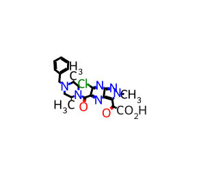 C[C@@H]1CN(Cc2ccccc2)[C@@H](C)CN1C(=O)c1nc2c(C(=O)C(=O)O)n(C)nc2nc1Cl